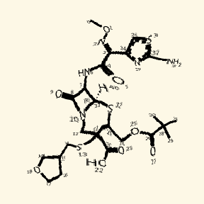 CON=C(C(=O)NC1C(=O)N2CC(SCC3CCOC3)(C(=O)O)C(COC(=O)C(C)(C)C)S[C@H]12)c1csc(N)n1